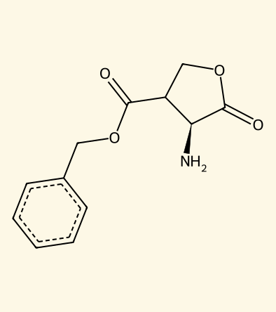 N[C@@H]1C(=O)OCC1C(=O)OCc1ccccc1